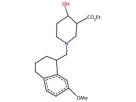 CCOC(=O)C1CN(CC2CCCc3ccc(OC)cc32)CCC1O